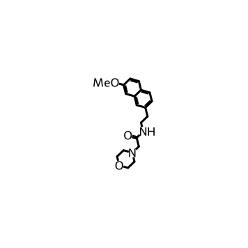 COc1ccc2ccc(CCNC(=O)CN3CCOCC3)cc2c1